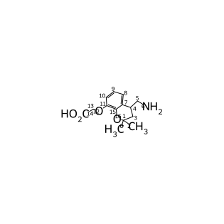 CC1(C)CC(CN)c2cccc(OCC(=O)O)c2O1